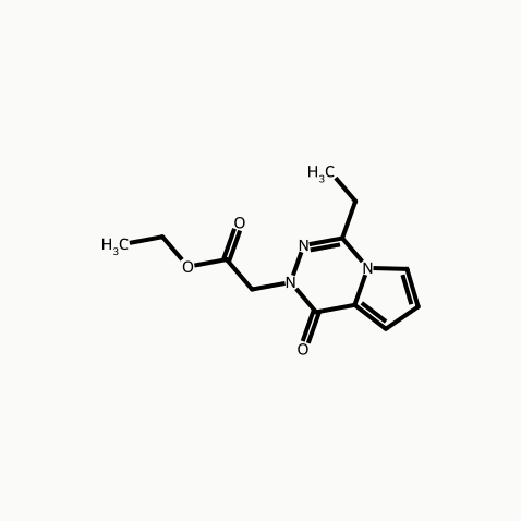 CCOC(=O)Cn1nc(CC)n2cccc2c1=O